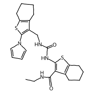 CCNC(=O)c1c(NC(=O)NCc2c(-n3cccc3)sc3c2CCCC3)sc2c1CCCC2